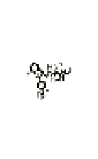 C[C@H](Nc1ncnc(NCI)c1N)c1cc2cccc(F)c2nc1-c1ccc(C(F)(F)F)cc1